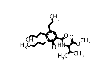 CCCCc1c(CCC)cc(C(=O)NC(C(=O)OC)C(C)C)c(=O)n1CCCC